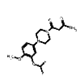 COc1ccc(N2CCN(C(=O)CC(N)=O)CC2)cc1OC(F)F